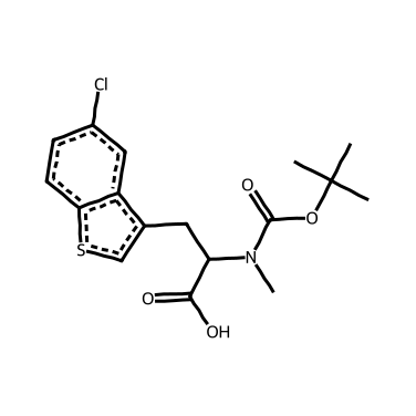 CN(C(=O)OC(C)(C)C)C(Cc1csc2ccc(Cl)cc12)C(=O)O